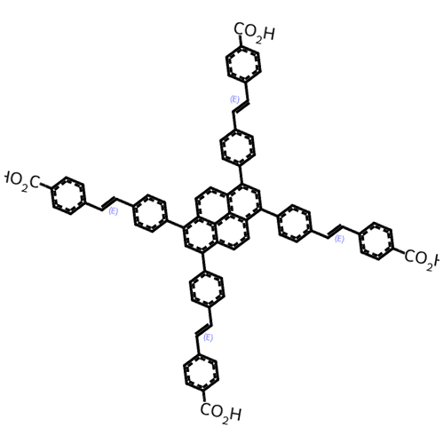 O=C(O)c1ccc(/C=C/c2ccc(-c3cc(-c4ccc(/C=C/c5ccc(C(=O)O)cc5)cc4)c4ccc5c(-c6ccc(/C=C/c7ccc(C(=O)O)cc7)cc6)cc(-c6ccc(/C=C/c7ccc(C(=O)O)cc7)cc6)c6ccc3c4c65)cc2)cc1